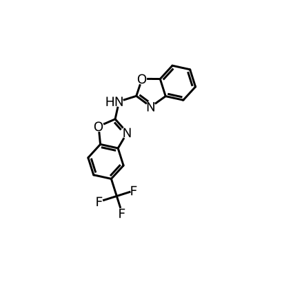 FC(F)(F)c1ccc2oc(Nc3nc4ccccc4o3)nc2c1